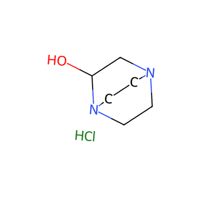 Cl.OC1CN2CCN1CC2